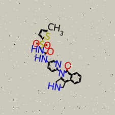 Cc1ccc(S(=O)(=O)NC(=O)Nc2ccc(-n3c4c(c5ccccc5c3=O)CNC4)nc2)s1